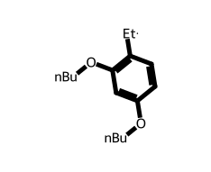 C[CH]c1ccc(OCCCC)cc1OCCCC